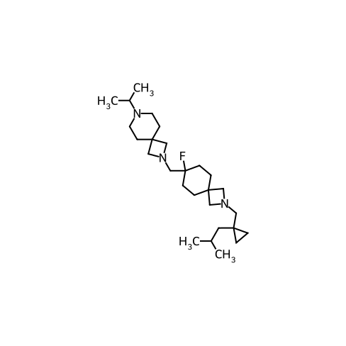 CC(C)CC1(CN2CC3(CCC(F)(CN4CC5(CCN(C(C)C)CC5)C4)CC3)C2)CC1